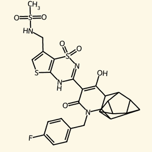 CS(=O)(=O)NCc1csc2c1S(=O)(=O)N=C(C1=C(O)C3C4C5C6C7C4C7C(C56)C3N(Cc3ccc(F)cc3)C1=O)N2